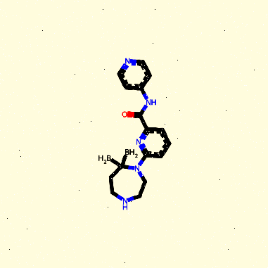 BC1(B)CCNCCN1c1cccc(C(=O)Nc2ccncc2)n1